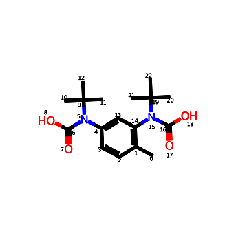 Cc1ccc(N(C(=O)O)C(C)(C)C)cc1N(C(=O)O)C(C)(C)C